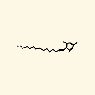 CCCOCCCCCCCCCCC#Cc1c(F)cc(F)cc1F